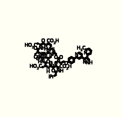 Cc1cccc(-c2c[nH]nc2-c2ccnc(-c3ccc(OCCN(C)C(=O)OCCSSC[C@H](NC(=O)[C@H](CC(=O)O)NC(=O)[C@H](CC(=O)O)NC(=O)[C@H](CCCNC(=N)N)NC(=O)[C@H](CC(=O)O)NC(=O)CC[C@H](NC(=O)CC(C)C)C(=O)O)C(=O)O)cc3)c2)n1